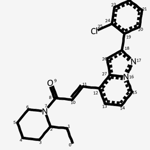 CCC1CCCCN1C(=O)C=Cc1cccn2nc(-c3ccccc3Cl)cc12